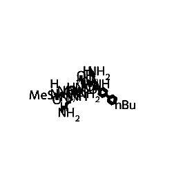 CCCCc1ccc(-c2ccc(C(=O)N[C@@H](CCN)C(=O)N[C@H](C(=O)N[C@@H](N)C(=O)N[C@@H](CCCCN)C(=O)N[C@@H](N)C(=O)NSC)[C@@H](C)O)cc2)cc1